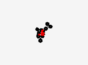 c1ccc(-c2ccccc2-c2c(-c3ccccc3)cccc2N(c2ccc(-c3ccc(-n4c5ccccc5c5ccccc54)cc3)cc2)c2cccc3c2c2ccccc2n3-c2ccccc2)cc1